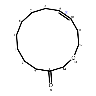 O=C1CCCCCCC/C=C\CCOC1